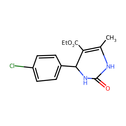 CCOC(=O)C1=C(C)NC(=O)NC1c1ccc(Cl)cc1